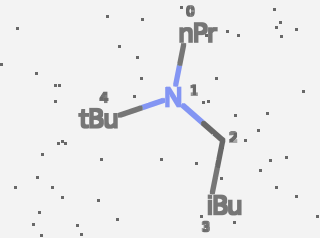 CCCN(CC(C)CC)C(C)(C)C